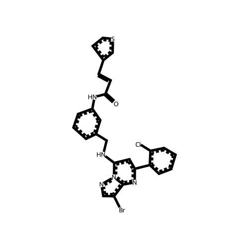 O=C(/C=C/c1ccsc1)Nc1cccc(CNc2cc(-c3ccccc3Cl)nc3c(Br)cnn23)c1